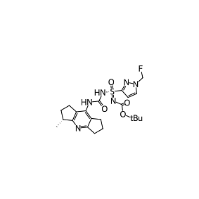 C[C@@H]1CCc2c1nc1c(c2NC(=O)N[S@@](=O)(=NC(=O)OC(C)(C)C)c2ccn(CF)n2)CCC1